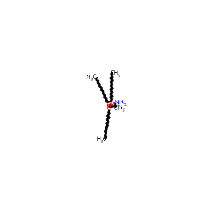 CCCCCCCCCCCCCCCCO[Si](CC(C)CN)(OCCCCCCCCCCCCCCCC)OCCCCCCCCCCCCCCCC